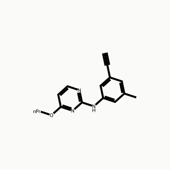 C#Cc1cc(C)cc(Nc2nccc(OCCC)n2)c1